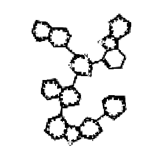 C1=C(c2nc(-c3ccc4ccccc4c3)nc(-c3ccc(-c4cccc5oc6ccc(-c7ccccc7)cc6c45)c4ccccc34)n2)c2oc3ccccc3c2CC1